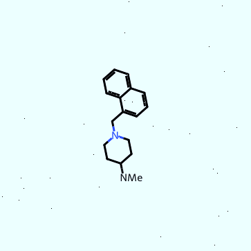 CNC1CCN(Cc2cccc3ccccc23)CC1